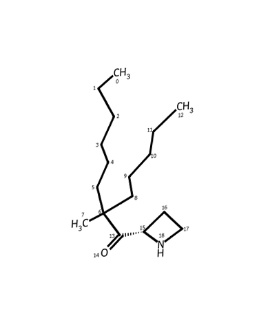 CCCCCCC(C)(CCCCC)C(=O)[C@@H]1CCN1